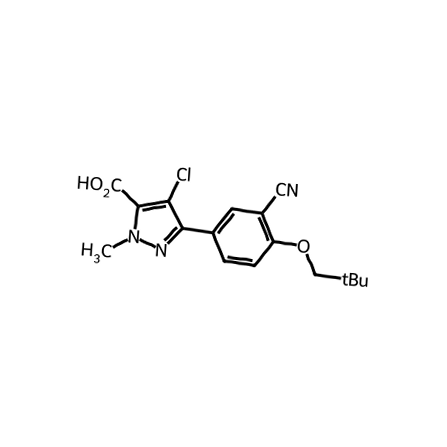 Cn1nc(-c2ccc(OCC(C)(C)C)c(C#N)c2)c(Cl)c1C(=O)O